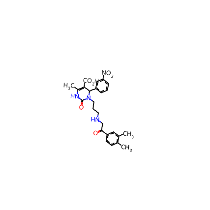 CC1=C(C(=O)O)C(c2cccc([N+](=O)[O-])c2)N(CCCNCC(=O)c2ccc(C)c(C)c2)C(=O)N1